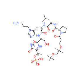 CC(C)C[C@H](NC(=O)[C@@H]1CCCN1C(=O)CCOC(C)(C)COC(C)(C)C)C(=O)N[C@@H](Cc1cncn1CCCN)C(=O)N[C@@H](CO)C(=O)N[C@H](C(N)=O)[C@@H](C)OP(=O)(O)O